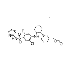 O=COC[C@@H]1CCCN([C@H]2CCCC[C@@H]2Nc2cc(F)c(S(=O)(=O)Nc3nccs3)cc2Cl)C1